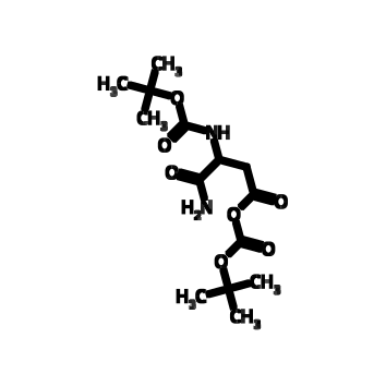 CC(C)(C)OC(=O)NC(CC(=O)OC(=O)OC(C)(C)C)C(N)=O